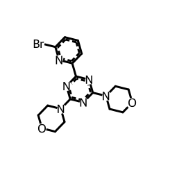 Brc1cccc(-c2nc(N3CCOCC3)nc(N3CCOCC3)n2)n1